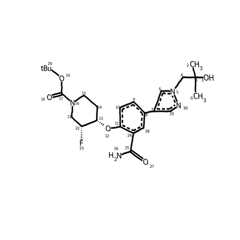 CC(C)(O)Cn1cc(-c2ccc(O[C@H]3CCN(C(=O)OC(C)(C)C)C[C@H]3F)c(C(N)=O)c2)cn1